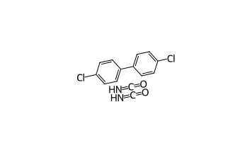 Clc1ccc(-c2ccc(Cl)cc2)cc1.N=C=O.N=C=O